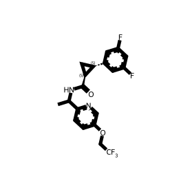 CC(NC(=O)[C@H]1C[C@@H]1c1cc(F)cc(F)c1)c1ccc(OCC(F)(F)F)cn1